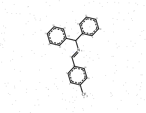 FC(F)(F)c1ccc(/C=N/C(c2ccccc2)c2ccccc2)cc1